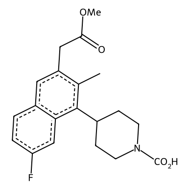 COC(=O)Cc1cc2ccc(F)cc2c(C2CCN(C(=O)O)CC2)c1C